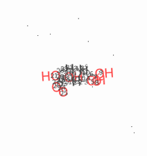 C[C@]12CC[C@@](O)(CC(=O)O)C[C@H]1CC[C@@H]1[C@@H]2CC[C@]2(C)[C@@](O)(C3=CC(=O)OC3)CC[C@]12O